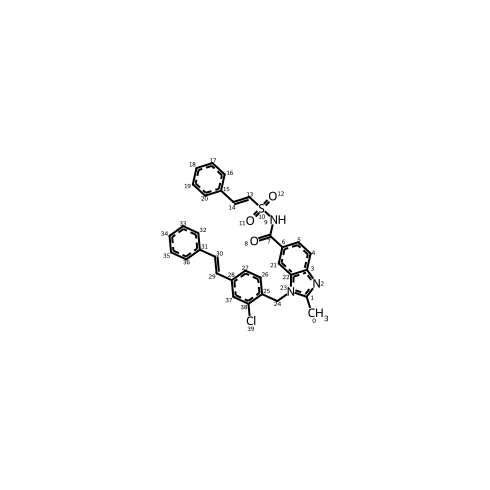 Cc1nc2ccc(C(=O)NS(=O)(=O)C=Cc3ccccc3)cc2n1Cc1ccc(C=Cc2ccccc2)cc1Cl